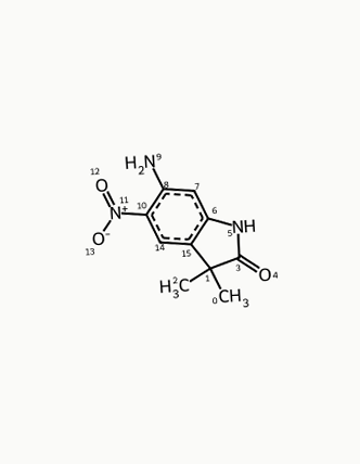 CC1(C)C(=O)Nc2cc(N)c([N+](=O)[O-])cc21